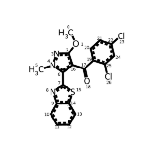 COc1nn(C)c(-c2nc3ccccc3s2)c1C(=O)c1ccc(Cl)cc1Cl